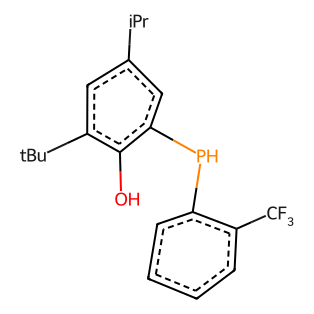 CC(C)c1cc(Pc2ccccc2C(F)(F)F)c(O)c(C(C)(C)C)c1